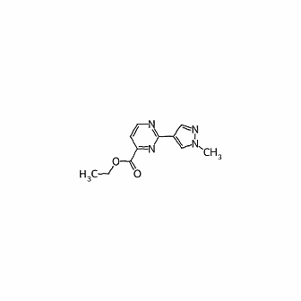 CCOC(=O)c1ccnc(-c2cnn(C)c2)n1